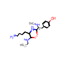 NCCCCC(NC(=O)[C@H](Cc1ccc(O)cc1)NC=O)C(=O)NCC(=O)O